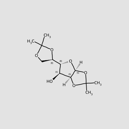 CC1(C)O[C@@H]2O[C@@H]([C@H]3COC(C)(C)O3)[C@H](O)[C@@H]2O1